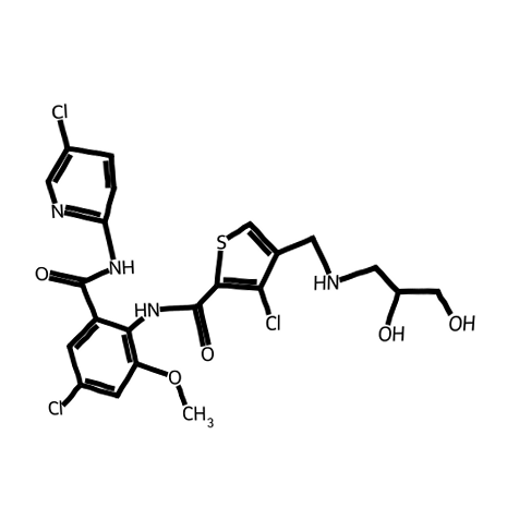 COc1cc(Cl)cc(C(=O)Nc2ccc(Cl)cn2)c1NC(=O)c1scc(CNCC(O)CO)c1Cl